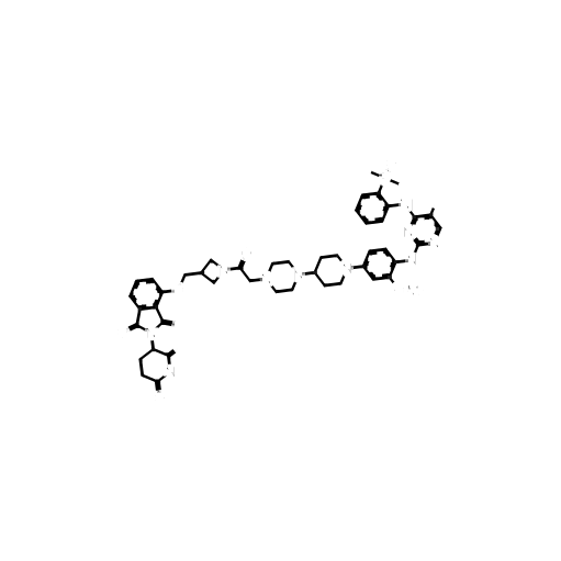 COc1cc(N2CCC(N3CCN(CC(=O)N4CC(COc5cccc6c5C(=O)N(C5CCC(=O)NC5=O)C6=O)C4)CC3)CC2)ccc1Nc1ncc(Cl)c(Nc2ccccc2P(C)(C)=O)n1